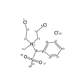 C[N+](CCCl)(CCCl)C(c1ccccc1)S(C)(=O)=O.[Cl-]